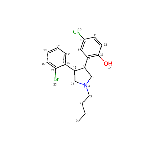 CCCCN1CC(c2cc(Cl)ccc2O)C(c2ccccc2Br)C1